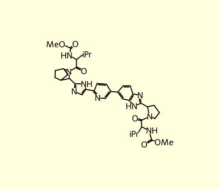 COC(=O)NC(C(=O)N1CCCC1c1nc2ccc(-c3ccc(-c4cnc(C5C6CCC(C6)N5C(=O)C(NC(=O)OC)C(C)C)[nH]4)nc3)cc2[nH]1)C(C)C